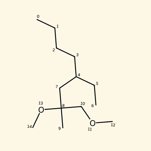 CCCCC(CC)CC(C)(COC)OC